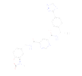 C[C@H](NC(=O)c1cc(C(=O)NCc2ccc3oc(=O)n(C)c3c2)ncn1)c1ccc(-c2nnc[nH]2)cc1